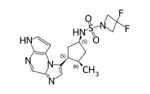 C[C@@H]1C[C@H](NS(=O)(=O)N2CC(F)(F)C2)C[C@@H]1c1cnc2cnc3[nH]ccc3n12